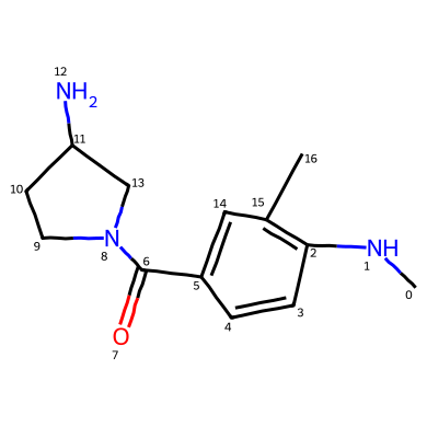 CNc1ccc(C(=O)N2CCC(N)C2)cc1C